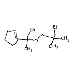 CCC(C)(C)COC(C)(C)C1=CCCC1